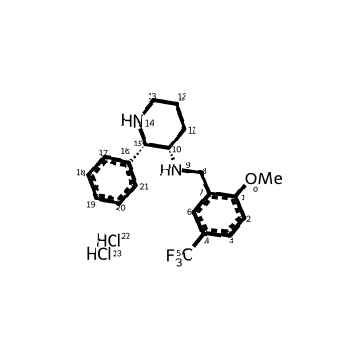 COc1ccc(C(F)(F)F)cc1CN[C@H]1CCCN[C@H]1c1ccccc1.Cl.Cl